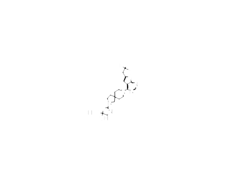 CC1(C)CN=C(N2CCC3(CCN(c4ncnc5sc(CC(F)(F)F)cc45)CC3)C2)S1